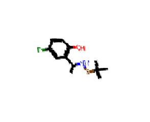 CC(NSC(C)(C)C)c1cc(F)ccc1O